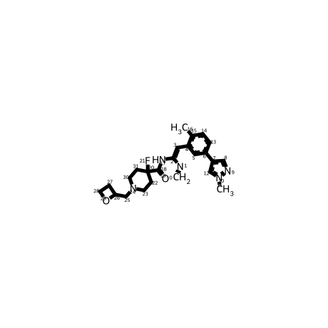 C=N/C(=C\c1cc(-c2cnn(C)c2)ccc1C)NC(=O)C1(F)CCN(CC2CCO2)CC1